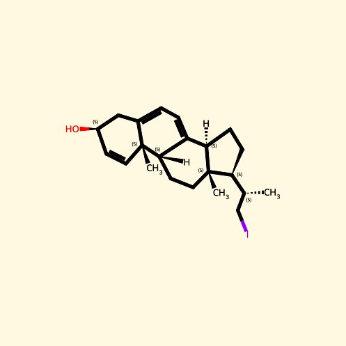 C[C@H](CI)[C@@H]1CC[C@@H]2C3=CC=C4C[C@H](O)C=C[C@@]4(C)[C@H]3CC[C@]21C